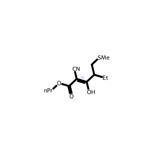 CCCOC(=O)/C(C#N)=C(\O)C(CC)CSC